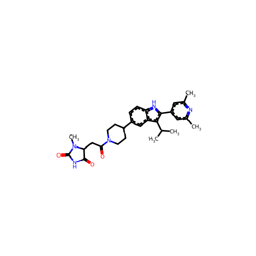 Cc1cc(-c2[nH]c3ccc(C4CCN(C(=O)CC5C(=O)NC(=O)N5C)CC4)cc3c2C(C)C)cc(C)n1